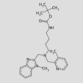 Cc1cccnc1CN(CCCCNC(=O)OC(C)(C)C)Cc1nc2ccccc2n1C